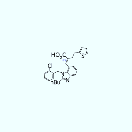 CCCCc1nc2cccc(/C=C(\CCc3cccs3)C(=O)O)c2n1Cc1ccccc1Cl